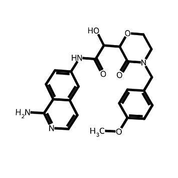 COc1ccc(CN2CCOC(C(O)C(=O)Nc3ccc4c(N)nccc4c3)C2=O)cc1